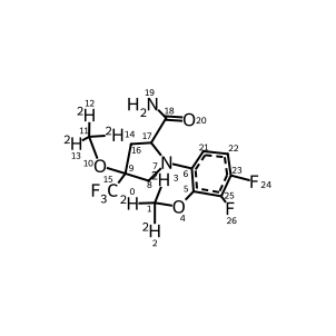 [2H]C([2H])([2H])Oc1c(N2CC(OC([2H])([2H])[2H])(C(F)(F)F)CC2C(N)=O)ccc(F)c1F